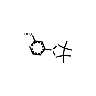 CCOC(=O)c1cc(B2OC(C)(C)C(C)(C)O2)ccn1